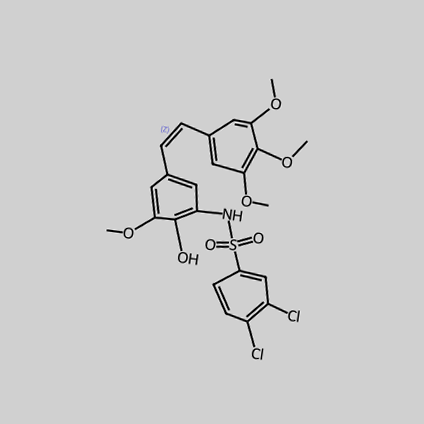 COc1cc(/C=C\c2cc(OC)c(OC)c(OC)c2)cc(NS(=O)(=O)c2ccc(Cl)c(Cl)c2)c1O